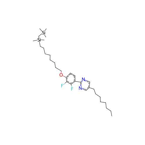 CCCCCCCCc1cnc(-c2ccc(OCCCCCCCC[Si](C)(C)C[Si](C)(C)C)c(F)c2F)nc1